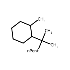 CCCCCC(C)(C)C1CCCCC1C